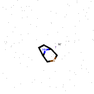 C1CC2CSCC1N2.[H+].[I-]